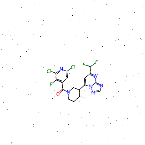 C[C@@H]1CCN(C(=O)c2cc(Cl)nc(Cl)c2F)C[C@H]1c1cc(C(F)F)nc2ncnn12